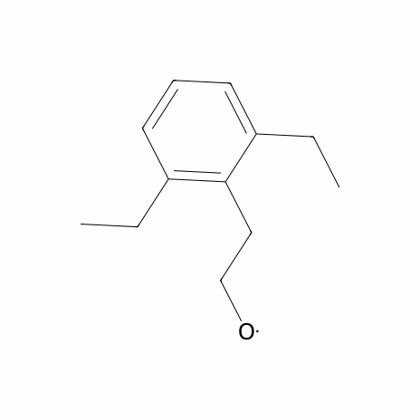 CCc1cccc(CC)c1CC[O]